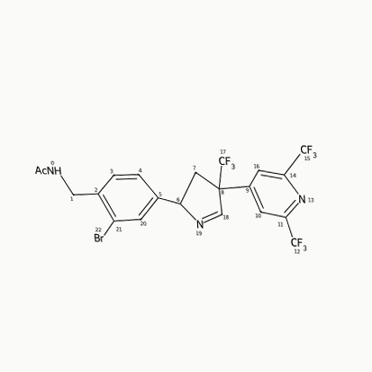 CC(=O)NCc1ccc(C2CC(c3cc(C(F)(F)F)nc(C(F)(F)F)c3)(C(F)(F)F)C=N2)cc1Br